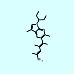 B/C(C)=C/C(C)=C(\C)c1nc2c(C)cn(C(CC)CC)c2nc1C